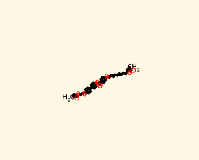 C=CC(=O)OCCOc1ccc(-c2ccc(OC(=O)c3ccc(OCCCCCCCCCC4CC(=C)C(=O)O4)cc3)cc2)cc1